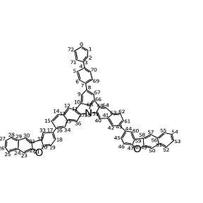 c1ccc(-c2ccc(-c3cc4c5cc6ccc(-c7ccc8oc9cc%10ccccc%10cc9c8c7)cc6cc5n5c6cc7cc(-c8ccc9oc%10cc%11ccccc%11cc%10c9c8)ccc7cc6c(c3)c45)cc2)cc1